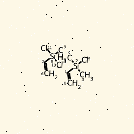 C=C[Si](C)(C)Cl.C=C[Si](C)(Cl)Cl